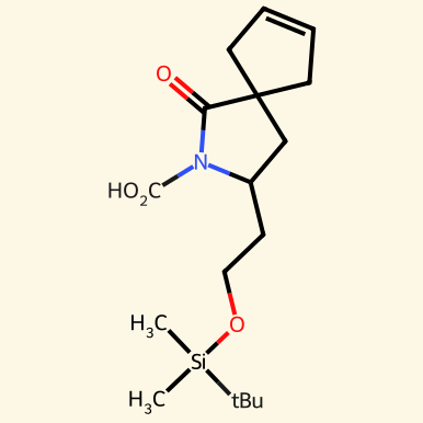 CC(C)(C)[Si](C)(C)OCCC1CC2(CC=CC2)C(=O)N1C(=O)O